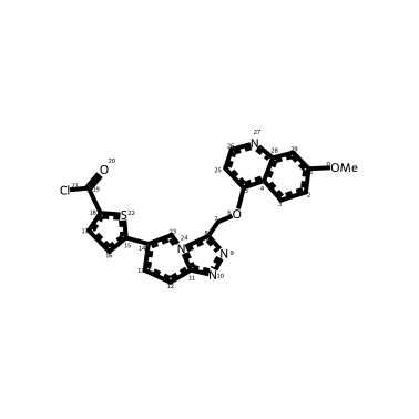 COc1ccc2c(OCc3nnc4ccc(-c5ccc(C(=O)Cl)s5)cn34)ccnc2c1